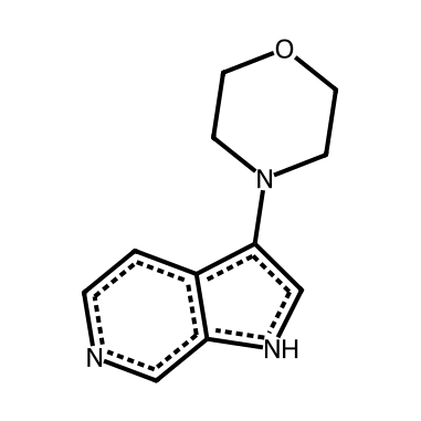 c1cc2c(N3CCOCC3)c[nH]c2cn1